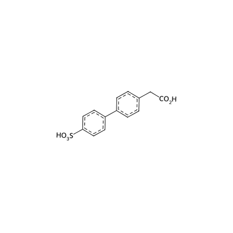 O=C(O)Cc1ccc(-c2ccc(S(=O)(=O)O)cc2)cc1